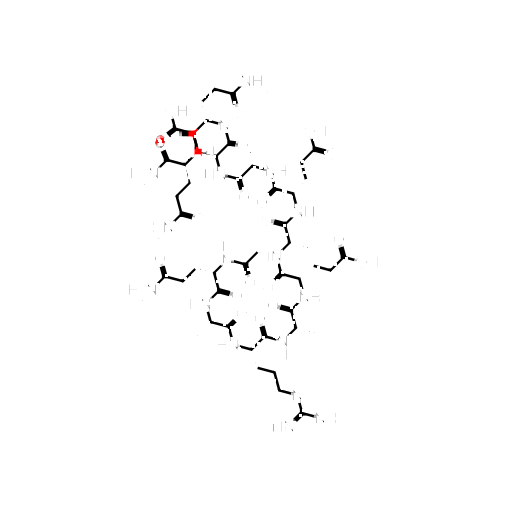 CC(=O)N[C@@H](CCC(N)=O)C(=O)N[C@@H](C)C(=O)N[C@@H](CCCNC(=N)N)C(=O)N[C@@H](C)C(=O)N[C@@H](CCC(=O)O)C(=O)N[C@@H](C)C(=O)N[C@@H](CCC(=O)O)C(=O)N[C@@H](C)C(=O)N[C@@H](CCC(=O)O)C(=O)N[C@@H](CCC(N)=O)C(=O)N[C@@H](CCC(N)=O)C(N)=O